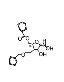 O=C(OC[C@H]1O[C@@H](NO)C(O)C1CCOCc1ccccc1)c1ccccc1